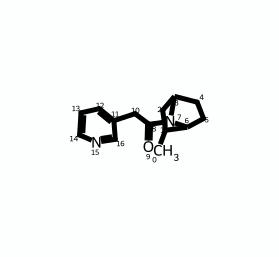 CC1CC2CCC1N2C(=O)Cc1cccnc1